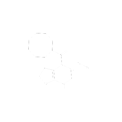 C=C(C1CCCCCCC1)N1C2=C(NCC2)NC[C@H]1NN